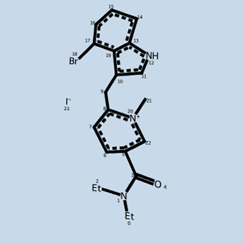 CCN(CC)C(=O)c1ccc(Cc2c[nH]c3cccc(Br)c23)[n+](C)c1.[I-]